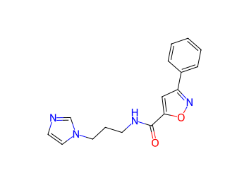 O=C(NCCCn1ccnc1)c1cc(-c2ccccc2)no1